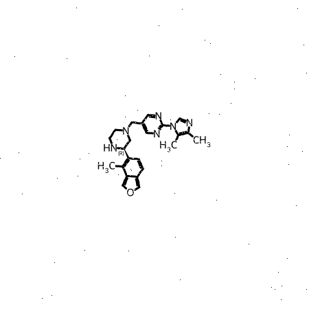 Cc1ncn(-c2ncc(CN3CCN[C@H](c4ccc5cocc5c4C)C3)cn2)c1C